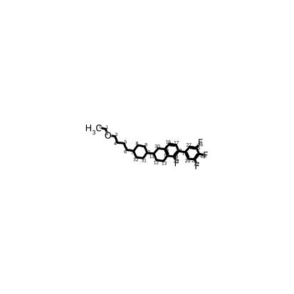 CCOCCCCC1CCC(C2CCc3c(ccc(-c4cc(F)c(F)c(F)c4)c3F)C2)CC1